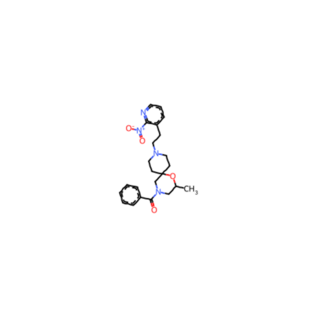 CC1CN(C(=O)c2ccccc2)CC2(CCN(CCc3cccnc3[N+](=O)[O-])CC2)O1